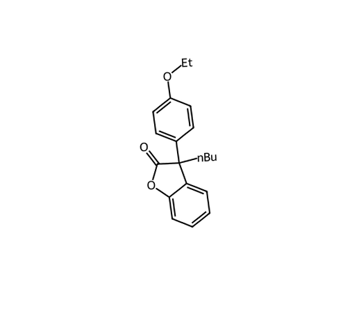 CCCCC1(c2ccc(OCC)cc2)C(=O)Oc2ccccc21